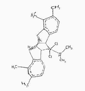 CC1=Cc2c(ccc(C)c2C)[CH]1[Zr]([Cl])([Cl])([CH]1C(C)=Cc2c1ccc(C)c2C)[SiH](C)C